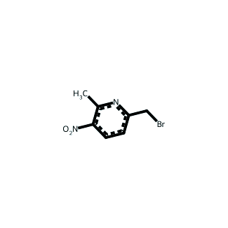 Cc1nc(CBr)ccc1[N+](=O)[O-]